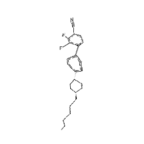 CCCCCC[C@H]1CC[C@H](c2ccc(-c3ccc(C#N)c(F)c3F)cc2)CC1